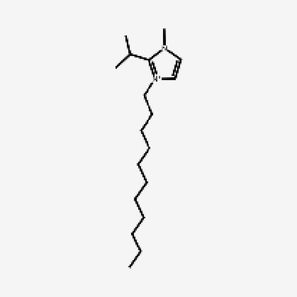 CCCCCCCCCCC[n+]1ccn(C)c1C(C)C